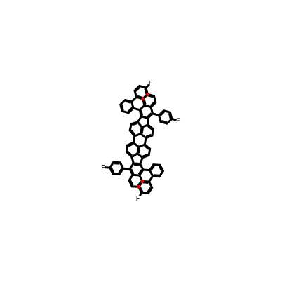 Fc1ccc(-c2ccccc2-c2c3c(c(-c4ccc(F)cc4)c4ccccc24)-c2ccc4c5ccc6c7c(ccc(c8ccc-3c2c48)c75)-c2c-6c(-c3ccccc3-c3ccc(F)cc3)c3ccccc3c2-c2ccc(F)cc2)cc1